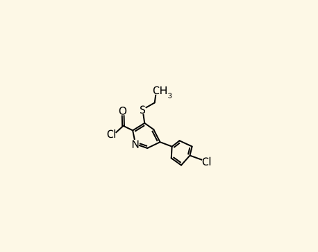 CCSc1cc(-c2ccc(Cl)cc2)cnc1C(=O)Cl